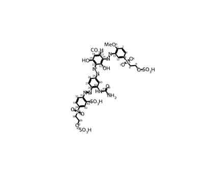 COc1ccc(S(=O)(=O)CCOS(=O)(=O)O)cc1N=Nc1c(C(=O)O)cc(O)c(N=Nc2ccc(N=Nc3ccc(S(=O)(=O)CCOS(=O)(=O)O)cc3S(=O)(=O)O)c(NC(N)=O)c2)c1O